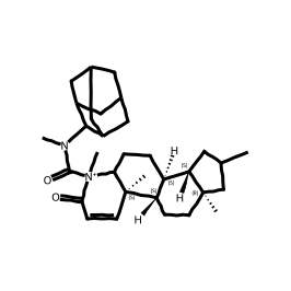 CC1C[C@H]2[C@@H]3CCC4[C@](C)(C=CC(=O)[N+]4(C)C(=O)N(C)C4C5CC6CC(C5)CC4C6)[C@H]3CC[C@]2(C)C1